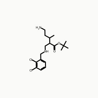 CC(CCN)C(CNCc1cccc(Cl)c1Cl)C(=O)OC(C)(C)C